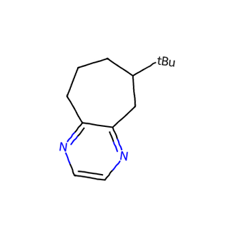 CC(C)(C)C1CCCc2nccnc2C1